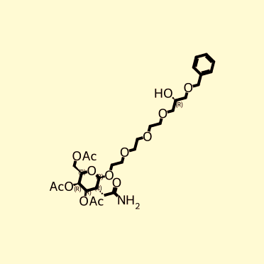 CC(=O)OC[C@H]1O[C@@H](OCCOCCOCCOC[C@H](O)COCc2ccccc2)[C@H](CC(N)=O)[C@@H](OC(C)=O)[C@H]1OC(C)=O